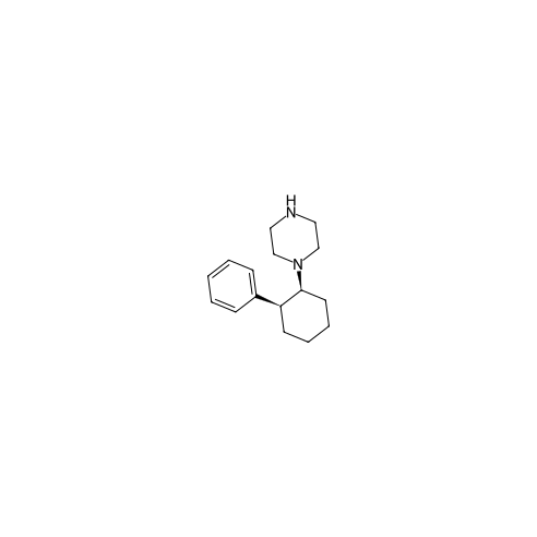 c1ccc([C@@H]2CCCC[C@@H]2N2CCNCC2)cc1